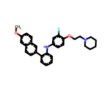 COc1ccc2cc(-c3ccccc3Nc3ccc(OCCN4CCCCC4)c(F)c3)ccc2c1